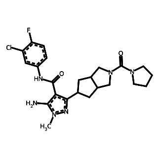 Cn1nc(C2CC3CN(C(=O)N4CCCC4)CC3C2)c(C(=O)Nc2ccc(F)c(Cl)c2)c1N